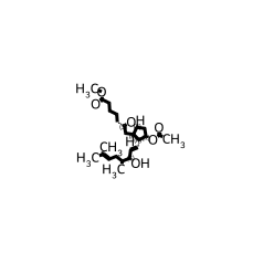 COC(=O)CCCC[C@H]1C[C@@H]2[C@@H](C=C[C@@H](O)C(C)CC=C(C)C)[C@H](OC(C)=O)C[C@@H]2O1